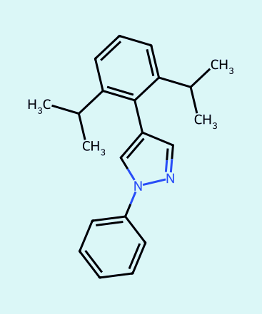 CC(C)c1cccc(C(C)C)c1-c1cnn(-c2ccccc2)c1